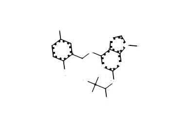 CC(C)n1cnc2c(NCc3cc(Cl)ccc3N)nc(NC(C)C(C)(C)O)nc21